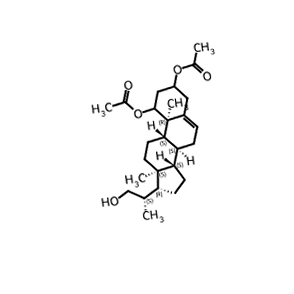 CC(=O)OC1CC2=CC[C@H]3[C@@H]4CC[C@H]([C@H](C)CO)[C@@]4(C)CC[C@@H]3[C@@]2(C)C(OC(C)=O)C1